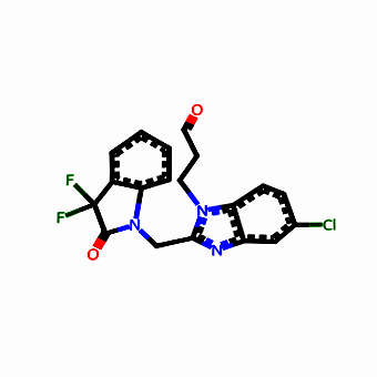 O=CCCn1c(CN2C(=O)C(F)(F)c3ccccc32)nc2cc(Cl)ccc21